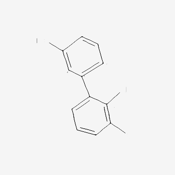 FC(F)(F)c1cccc(-c2cccc(C(F)(F)F)c2Cl)c1